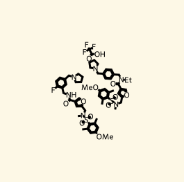 CCN(Cc1ccc(CN2CCCC2)cc1)C(=O)c1coc(CN(C)S(=O)(=O)c2c(C)cc(OC)cc2C)c1.COc1cc(C)c(S(=O)(=O)N(C)Cc2cc(C(=O)NCc3cc(CN4CCCC4)ccc3F)co2)c(C)c1.O=C(O)C(F)(F)F